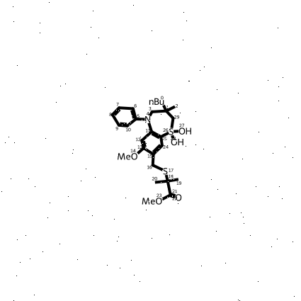 CCCCC1(C)CN(c2ccccc2)c2cc(OC)c(CSC(C)(C)C(=O)OC)cc2S(O)(O)C1